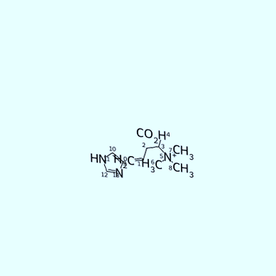 C=CCC(C(=O)O)[N+](C)(C)C.c1c[nH]cn1